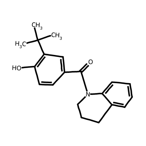 CC(C)(C)c1cc(C(=O)N2CCCc3ccccc32)ccc1O